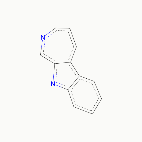 c1cncc2nc3ccccc3c-2c1